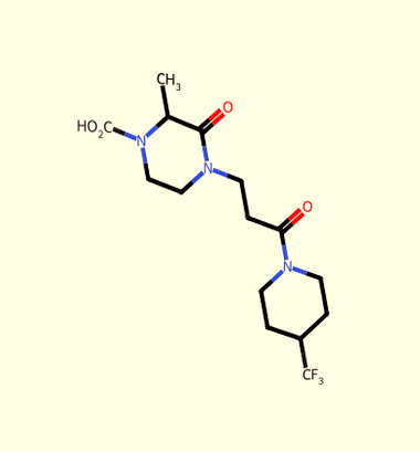 CC1C(=O)N(CCC(=O)N2CCC(C(F)(F)F)CC2)CCN1C(=O)O